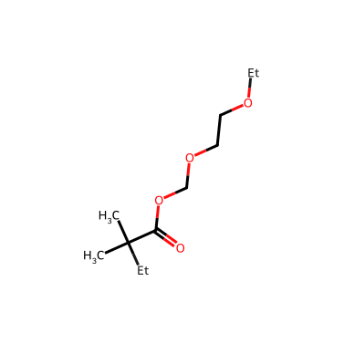 CCOCCOCOC(=O)C(C)(C)CC